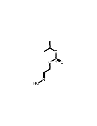 CC(C)O[PH](=O)OCC=NO